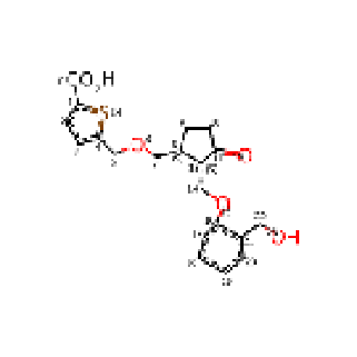 O=C(O)c1ccc(COC[C@H]2CCC(=O)[C@@H]2COc2ccccc2CO)s1